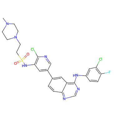 CN1CCN(CCS(=O)(=O)Nc2cc(-c3ccc4ncnc(Nc5ccc(F)c(Cl)c5)c4c3)cnc2Cl)CC1